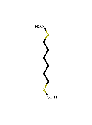 O=S(=O)(O)SCCCCCCSS(=O)(=O)O